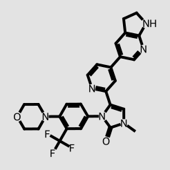 Cn1cc(-c2cc(-c3cnc4c(c3)CCN4)ccn2)n(-c2ccc(N3CCOCC3)c(C(F)(F)F)c2)c1=O